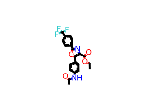 CCOC(=O)c1nc(-c2ccc(C(F)(F)F)cc2)oc1-c1ccc(NC(C)=O)cc1